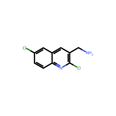 NCc1cc2cc(Cl)ccc2nc1Cl